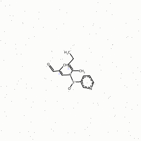 CC/C=C(\C)N(/C=C(\C)C=O)[S+]([O-])c1cccnc1